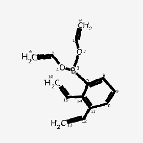 C=COB(OC=C)c1cccc(C=C)c1C=C